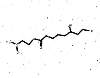 CN(C)CCOC(=O)CCCCC(S)CCS